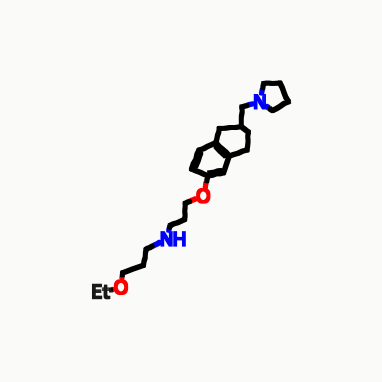 CCOCCCNCCCOc1ccc2c(c1)CCC(CN1CCCC1)C2